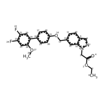 CCOC(=O)Cn1ncc2ccc(COc3ccc(-c4cc(F)c(F)cc4OC)cc3)cc21